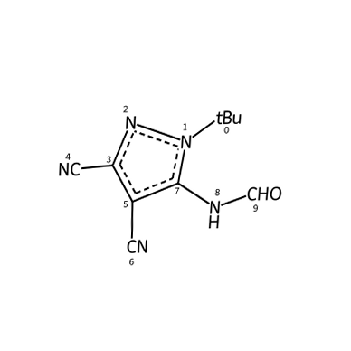 CC(C)(C)n1nc(C#N)c(C#N)c1NC=O